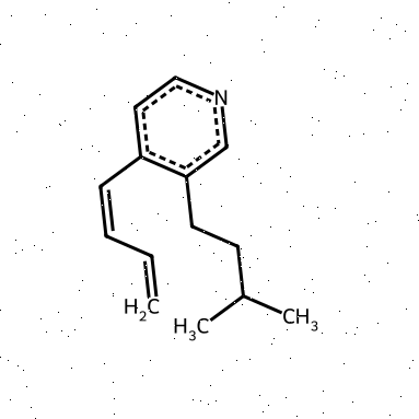 C=C/C=C\c1ccncc1CCC(C)C